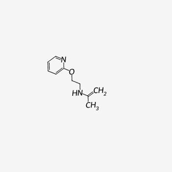 C=C(C)NCCOc1ccccn1